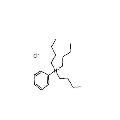 CCCC[N+](CCCC)(CCCC)c1ccccc1.[Cl-]